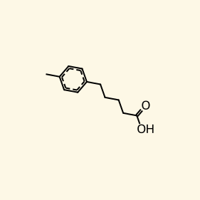 Cc1ccc(CCCCC(=O)O)cc1